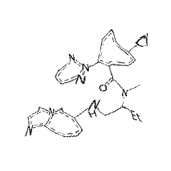 CCC(CNc1ccc2nccn2c1)N(C)C(=O)c1cc(Cl)ccc1-n1nccn1